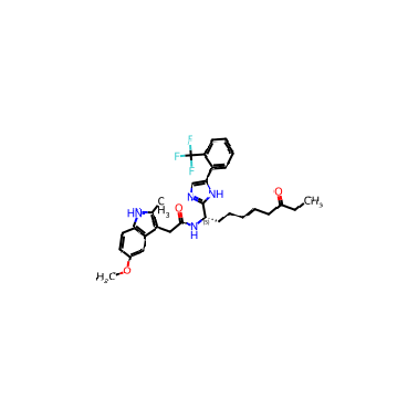 CCC(=O)CCCCC[C@H](NC(=O)Cc1c(C)[nH]c2ccc(OC)cc12)c1ncc(-c2ccccc2C(F)(F)F)[nH]1